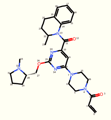 C=CC(=O)N1CCN(c2cc(C(=O)N3c4ccccc4CCC3C)nc(OC[C@@H]3CCCN3C)n2)CC1